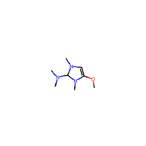 COC1=CN(C)C(N(C)C)N1C